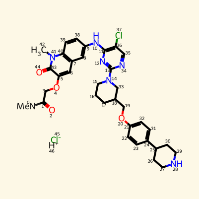 CNC(=O)COc1cc2cc(Nc3nc(N4CCCC(COc5ccc(C6CCNCC6)cc5)C4)ncc3Cl)ccc2n(C)c1=O.[Cl-].[H+]